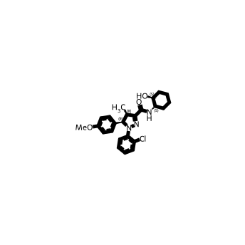 COc1ccc([C@H]2[C@@H](C)C(C(=O)N[C@H]3CCCC[C@@H]3O)=NN2c2ccccc2Cl)cc1